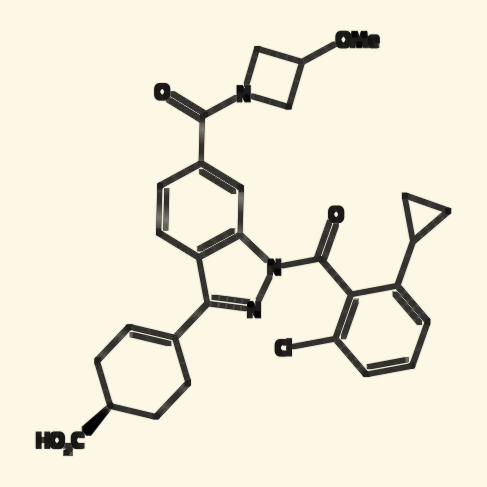 COC1CN(C(=O)c2ccc3c(C4=CC[C@H](C(=O)O)CC4)nn(C(=O)c4c(Cl)cccc4C4CC4)c3c2)C1